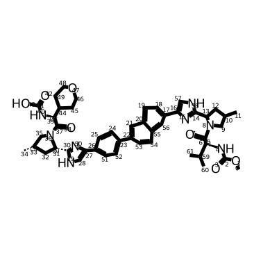 COC(=O)N[C@H](C(=O)N1CC(C)CC1c1nc(-c2ccc3cc(-c4ccc(-c5c[nH]c([C@@H]6C[C@H](C)CN6C(=O)[C@@H](NC(=O)O)C6CCOCC6)n5)cc4)ccc3c2)c[nH]1)C(C)C